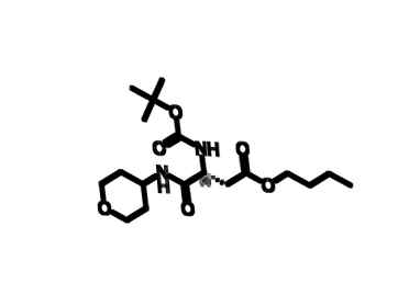 CCCCOC(=O)C[C@@H](NC(=O)OC(C)(C)C)C(=O)NC1CCOCC1